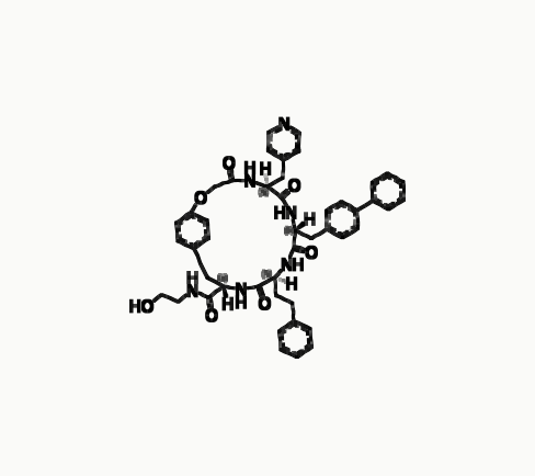 O=C1COc2ccc(cc2)C[C@@H](C(=O)NCCO)NC(=O)[C@H](CCc2ccccc2)NC(=O)[C@@H](Cc2ccc(-c3ccccc3)cc2)NC(=O)[C@H](Cc2ccncc2)N1